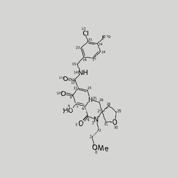 COCCN1C(=O)c2c(O)c(=O)c(C(=O)NCc3ccc(F)c(Cl)c3)cn2CC12CCOC2